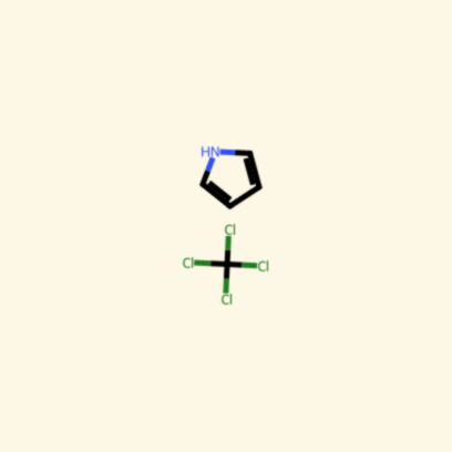 ClC(Cl)(Cl)Cl.c1cc[nH]c1